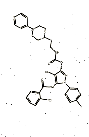 O=C(NCCC1CCN(c2ccncc2)CC1)Oc1nn(-c2ccc(F)cc2)c(NC(=O)c2ccccc2Cl)c1Br